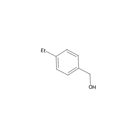 [CH2]Cc1ccc(CO)cc1